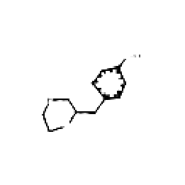 COc1ccc(CC2CNCCO2)cc1